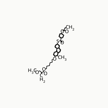 C=CC(=O)Oc1ccc(C(=O)Sc2ccc3c(ccc4c(C)c(OCCCCCCOC(=O)C(=C)COC)ccc43)c2)cc1